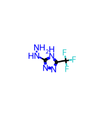 NNc1nnc(C(F)(F)F)[nH]1